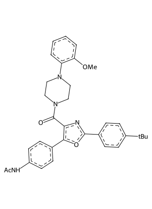 COc1ccccc1N1CCN(C(=O)c2nc(-c3ccc(C(C)(C)C)cc3)oc2-c2ccc(NC(C)=O)cc2)CC1